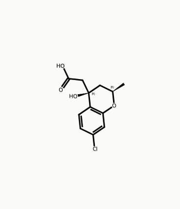 C[C@@H]1C[C@@](O)(CC(=O)O)c2ccc(Cl)cc2O1